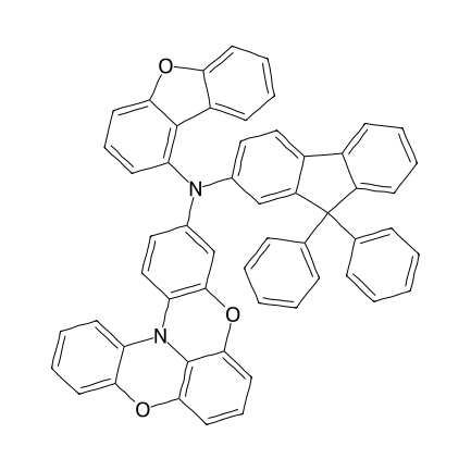 c1ccc(C2(c3ccccc3)c3ccccc3-c3ccc(N(c4ccc5c(c4)Oc4cccc6c4N5c4ccccc4O6)c4cccc5oc6ccccc6c45)cc32)cc1